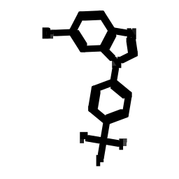 FC(F)(F)c1ccc(-n2cnc3ccc(Br)cc32)cc1